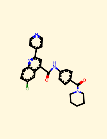 O=C(Nc1ccc(C(=O)N2CCCCC2)cc1)c1cc(-c2ccncc2)nc2ccc(Cl)cc12